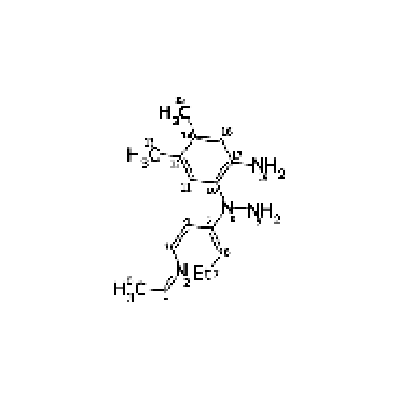 C\C=N/C=C\C(=C/CC)N(N)c1cc(C)c(C)cc1N